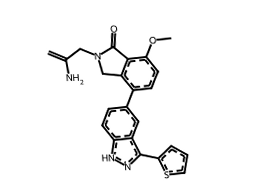 C=C(N)CN1Cc2c(-c3ccc4[nH]nc(-c5cccs5)c4c3)ccc(OC)c2C1=O